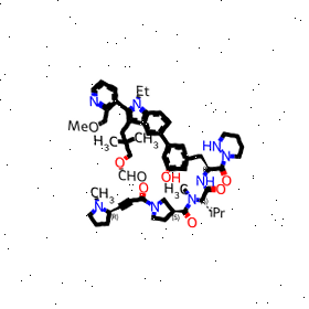 CCn1c(-c2cccnc2COC)c(CC(C)(C)COC=O)c2cc(-c3cc(O)cc(C[C@H](NC(=O)[C@H](C(C)C)N(C)C(=O)[C@H]4CCN(C(=O)C#C[C@H]5CCCN5C)C4)C(=O)N4CCCCN4)c3)ccc21